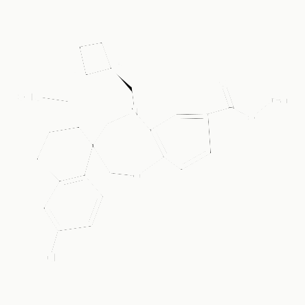 CC(C)(C)OC(=O)c1ccc2c(c1)N(C[C@@H]1CC[C@H]1CC=O)CC1(CCCc3cc(Cl)ccc31)CO2